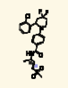 C[C@H](/C=C/S(C)(=O)=O)NC(=O)c1ccc(N2CCC(F)(F)CC2c2ccccc2Cl)cc1